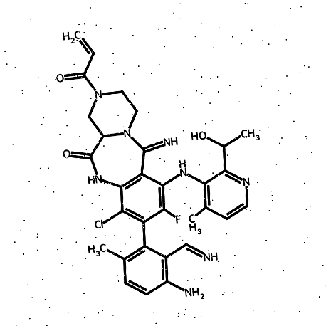 C=CC(=O)N1CCN2C(=N)c3c(Nc4c(C)ccnc4C(C)O)c(F)c(-c4c(C)ccc(N)c4C=N)c(Cl)c3NC(=O)C2C1